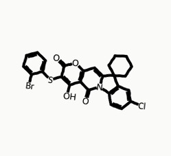 O=c1oc2cc3n(c(=O)c2c(O)c1Sc1ccccc1Br)-c1ccc(Cl)cc1C31CCCCC1